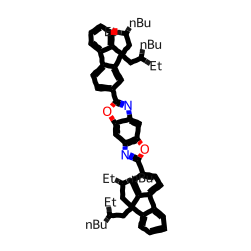 CCCCC(CC)CC1(CC(CC)CCCC)c2ccccc2-c2ccc(-c3nc4cc5oc(-c6ccc7c(c6)C(CC(CC)CCCC)(CC(CC)CCCC)c6ccccc6-7)nc5cc4o3)cc21